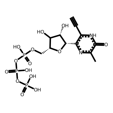 C#Cc1[nH]c(=O)c(C)nc1[C@@H]1O[C@H](COP(=O)(O)OP(=O)(O)OP(=O)(O)O)C(O)[C@@H]1O